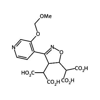 COCOc1cnccc1C1=NOC(C(C(=O)O)C(=O)O)C1C(C(=O)O)C(=O)O